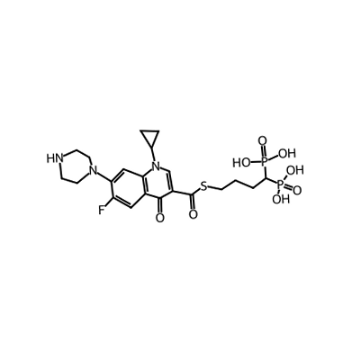 O=C(SCCCC(P(=O)(O)O)P(=O)(O)O)c1cn(C2CC2)c2cc(N3CCNCC3)c(F)cc2c1=O